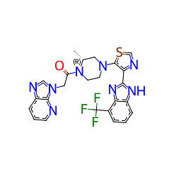 C[C@@H]1CN(c2scnc2-c2nc3c(C(F)(F)F)cccc3[nH]2)CCN1C(=O)Cn1cnc2cccnc21